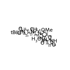 COc1ccc2c(c1N1CCC(N(C)CC3CCN(C(=O)OC(C)(C)C)CC3)CC1)n(C)c(=O)n2C1CCC(=O)NC1=O